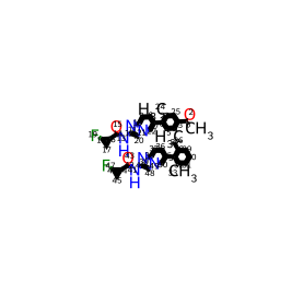 CC(=O)c1ccc(-c2ccc3nc(NC(=O)C4CC4F)cn3c2)c(C)c1.CCc1cccc(C)c1-c1ccc2nc(NC(=O)C3CC3F)cn2c1